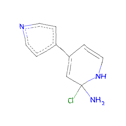 NC1(Cl)C=C(c2ccncc2)C=CN1